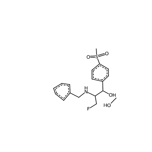 CO.CS(=O)(=O)c1ccc(C(O)C(CF)NCc2ccccc2)cc1